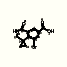 O=C(O)c1cc(Br)c2c(c1)C(=O)NCC21CC1